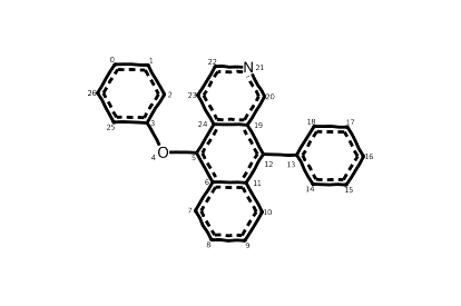 c1ccc(Oc2c3ccccc3c(-c3ccccc3)c3cnccc23)cc1